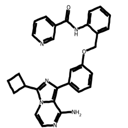 Nc1nccn2c(C3CCC3)nc(-c3cccc(OCc4ccccc4NC(=O)c4cccnc4)c3)c12